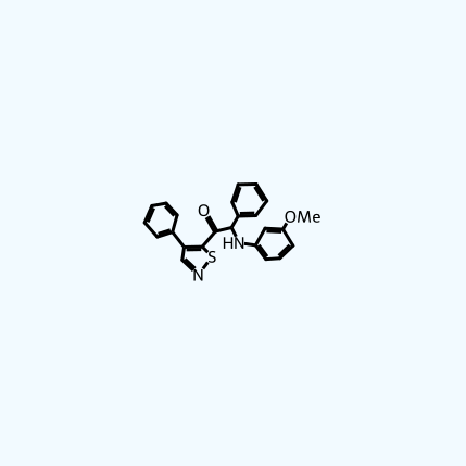 COc1cccc(NC(C(=O)c2sncc2-c2ccccc2)c2ccccc2)c1